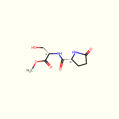 COC(=O)[C@H](CO)NC(=O)[C@H]1CCC(=O)N1